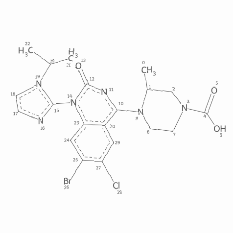 CC1CN(C(=O)O)CCN1c1nc(=O)n(-c2nccn2C(C)C)c2cc(Br)c(Cl)cc12